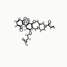 C=CC(=O)N1CCN2Cc3c(OCCN(C)C)cc(-c4c(O)cccc4Cl)c(F)c3OCC2C1